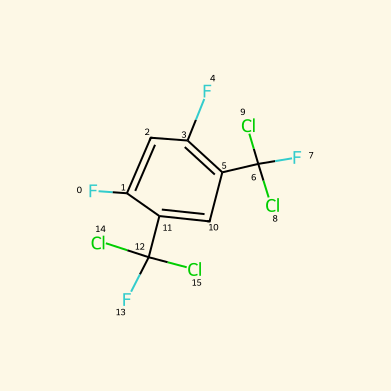 Fc1cc(F)c(C(F)(Cl)Cl)cc1C(F)(Cl)Cl